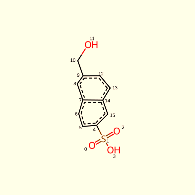 O=S(=O)(O)c1ccc2cc(CO)ccc2c1